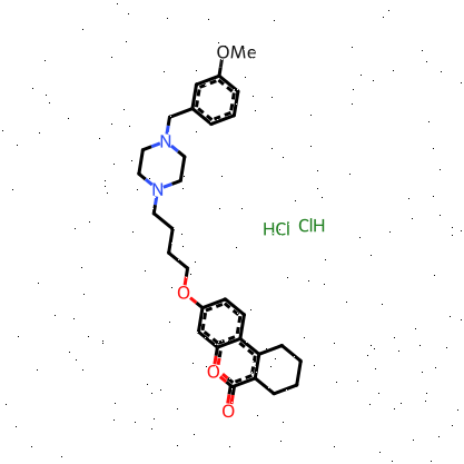 COc1cccc(CN2CCN(CCCCOc3ccc4c5c(c(=O)oc4c3)CCCC5)CC2)c1.Cl.Cl